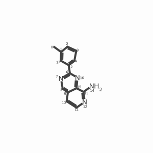 Cc1cccc(-c2ncc3ccnc(N)c3n2)c1